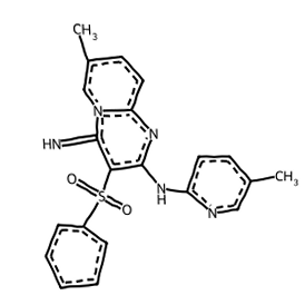 Cc1ccc(Nc2nc3ccc(C)cn3c(=N)c2S(=O)(=O)c2ccccc2)nc1